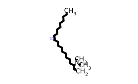 C=CC(CCCCCCCC/C=C\CCCCCCCC)N(C)C